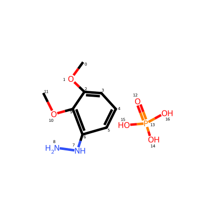 COc1cccc(NN)c1OC.O=P(O)(O)O